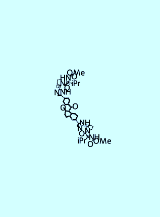 COC(=O)N[C@H](C(=O)N1CCC[C@H]1c1ncc(-c2ccc3c(ccc4oc5cc(-c6cnc([C@@H]7CCCN7C(=O)[C@@H](NC(=O)OC)C(C)C)[nH]6)ccc5c(=O)c43)c2)[nH]1)C(C)C